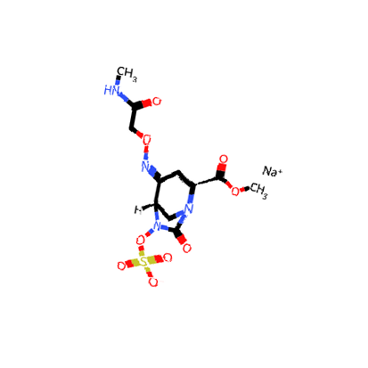 CNC(=O)CON=C1C[C@@H](C(=O)OC)N2C[C@@H]1N(OS(=O)(=O)[O-])C2=O.[Na+]